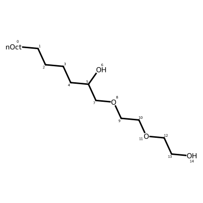 CCCCCCCCCCCCC(O)COCCOCCO